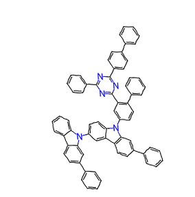 c1ccc(-c2ccc(-c3nc(-c4ccccc4)nc(-c4cc(-n5c6ccc(-n7c8ccccc8c8ccc(-c9ccccc9)cc87)cc6c6ccc(-c7ccccc7)cc65)ccc4-c4ccccc4)n3)cc2)cc1